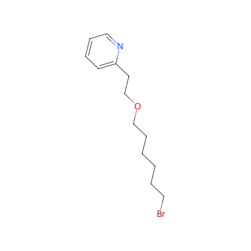 BrCCCCCCOCCc1ccccn1